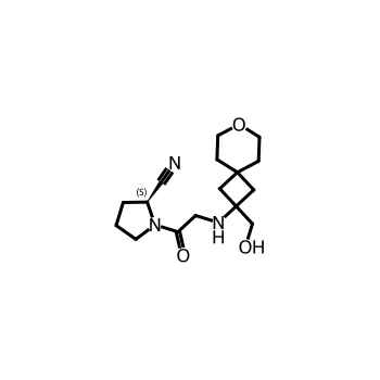 N#C[C@@H]1CCCN1C(=O)CNC1(CO)CC2(CCOCC2)C1